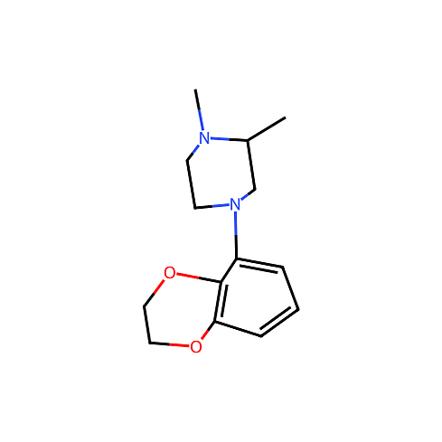 CC1CN(c2cccc3c2OCCO3)CCN1C